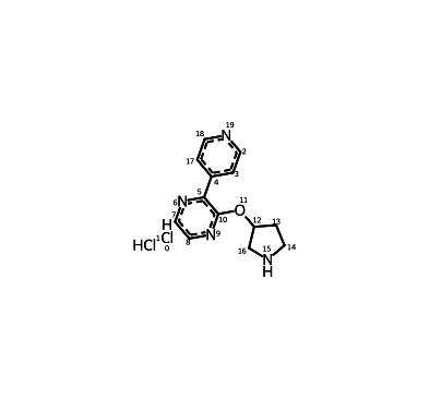 Cl.Cl.c1cc(-c2nccnc2OC2CCNC2)ccn1